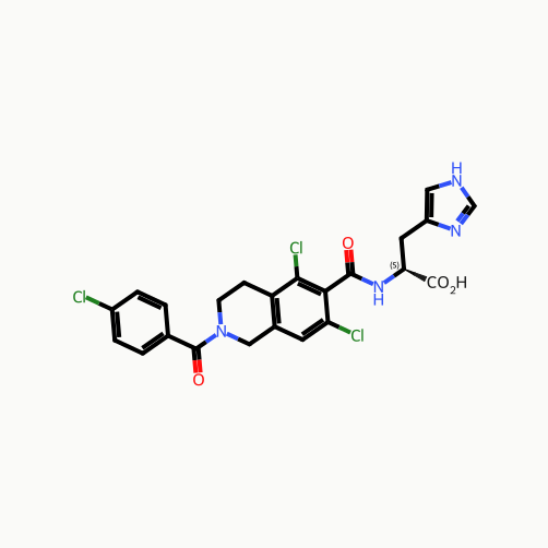 O=C(N[C@@H](Cc1c[nH]cn1)C(=O)O)c1c(Cl)cc2c(c1Cl)CCN(C(=O)c1ccc(Cl)cc1)C2